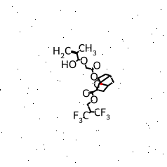 C=C(C)C(O)OCC(=O)OC12CC3CC(C1)CC(C(=O)OCC(C(F)(F)F)C(F)(F)F)(C3)C2